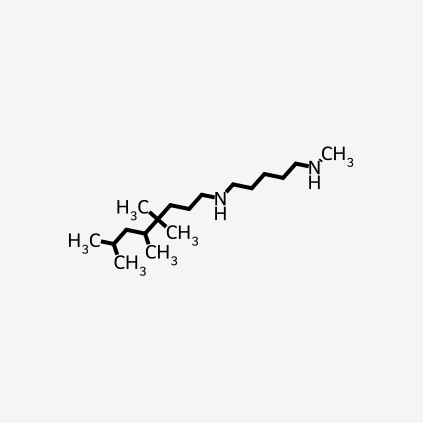 CNCCCCCNCCCC(C)(C)C(C)CC(C)C